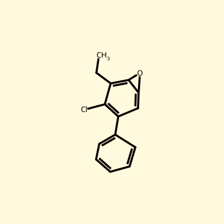 CCc1c(Cl)c(-c2ccccc2)cc2c1O2